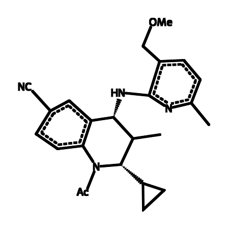 COCc1ccc(C)nc1N[C@H]1c2cc(C#N)ccc2N(C(C)=O)[C@@H](C2CC2)C1C